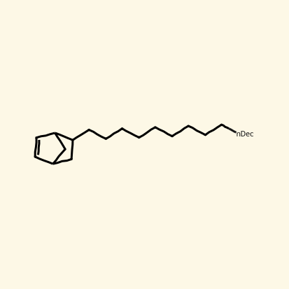 CCCCCCCCCCCCCCCCCCCC1CC2C=CC1C2